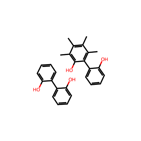 Cc1c(C)c(C)c(-c2ccccc2O)c(O)c1C.Oc1ccccc1-c1ccccc1O